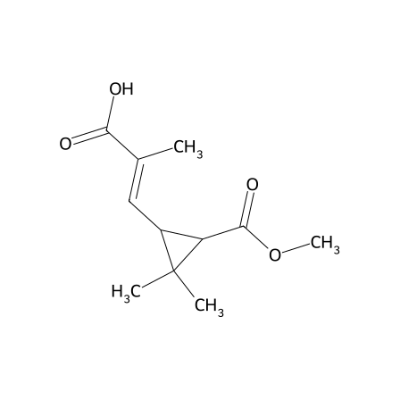 COC(=O)C1C(/C=C(\C)C(=O)O)C1(C)C